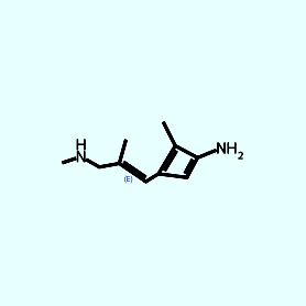 CNC/C(C)=C/C1=C(C)C(N)=C1